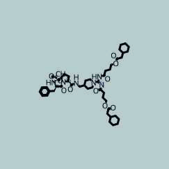 CS(=O)(=O)N[C@H](Cc1ccccc1)C(=O)N1CCC[C@H]1C(=O)NCC1CCN(/C(=N\C(=O)CCCOC(=O)CC2CCCCC2)NC(=O)CCCOC(=O)CC2CCCCC2)CC1